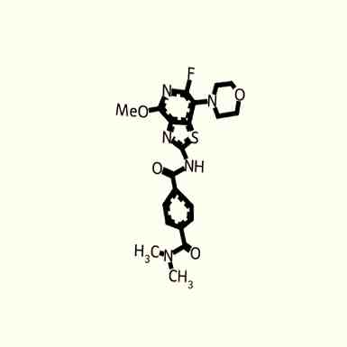 COc1nc(F)c(N2CCOCC2)c2sc(NC(=O)c3ccc(C(=O)N(C)C)cc3)nc12